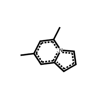 Cc1cc(C)n2cccc2c1